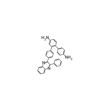 Nc1ccc(-c2ccc(N)cc2-c2ccc(-c3nc4ccccc4nc3-c3ccccc3)cc2)cc1